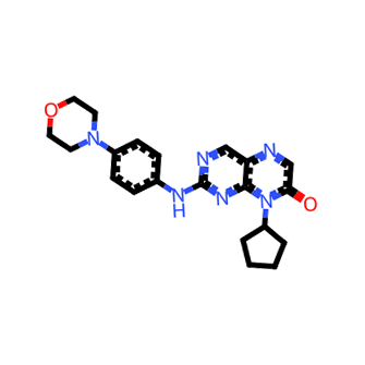 O=c1cnc2cnc(Nc3ccc(N4CCOCC4)cc3)nc2n1C1CCCC1